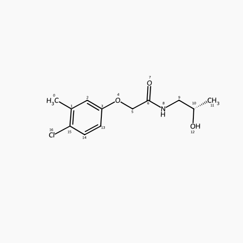 Cc1cc(OCC(=O)NC[C@H](C)O)ccc1Cl